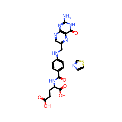 Nc1nc2ncc(CNc3ccc(C(=O)NC(CCC(=O)O)C(=O)O)cc3)nc2c(=O)[nH]1.c1cscn1